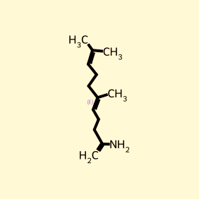 C=C(N)CC/C=C(\C)CCC=C(C)C